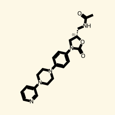 CC(=O)NC[C@H]1CN(c2ccc(N3CCN(c4cccnc4)CC3)cc2)C(=O)O1